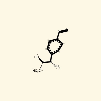 C=Cc1ccc([C@H](N)[C@@H](O)C(=O)O)cc1